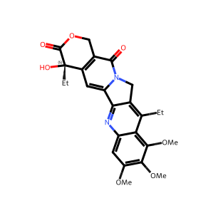 CCc1c2c(nc3cc(OC)c(OC)c(OC)c13)-c1cc3c(c(=O)n1C2)COC(=O)[C@]3(O)CC